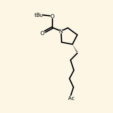 CC(=O)CCCCC[C@H]1CCN(C(=O)OC(C)(C)C)C1